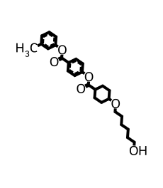 Cc1cccc(OC(=O)c2ccc(OC(=O)C3CCC(OCCCCCCO)CC3)cc2)c1